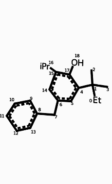 CCC(C)(C)c1cc(Cc2ccccc2)cc(C(C)C)c1O